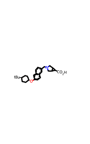 CC(C)(C)[C@H]1CC[C@H](Oc2ccc3cc(CN4CC5C(C4)C5C(=O)O)ccc3c2)CC1